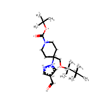 CC(C)(C)OC(=O)N1CCC(CO[Si](C)(C)C(C)(C)C)(n2cc(C=O)cn2)CC1